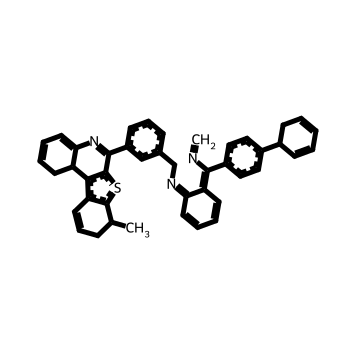 C=N/C(=C1/C=CC=C/C1=N/Cc1cccc(C2=NC3=CC=CCC3c3c2sc2c3C=CCC2C)c1)c1ccc(C2C=CC=CC2)cc1